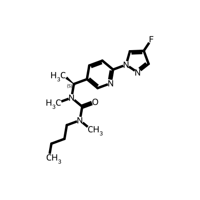 CCCCN(C)C(=O)N(C)[C@@H](C)c1ccc(-n2cc(F)cn2)nc1